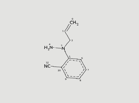 C=CCN(N)c1ccccc1C#N